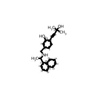 CC(NCc1ccc(C#CC(C)(C)O)c(O)c1)c1cccc2ccccc12